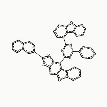 c1ccc(-c2nc(-c3cccc4oc5ccccc5c34)nc(-c3c4nc(-c5ccc6ccccc6c5)oc4cc4oc5ccccc5c34)n2)cc1